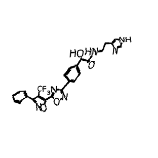 O=C(NCCc1c[nH]cn1)C(O)c1ccc(-c2noc(-c3onc(-c4ccccc4)c3C(F)(F)F)n2)cc1